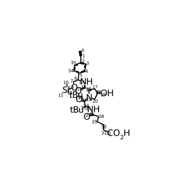 C#Cc1ccc(C(CO[Si](C)(C)C(C)(C)C)NC(=O)[C@@H]2C[C@@H](O)CN2C(=O)C(NC(=O)CCCCC(=O)O)C(C)(C)C)cc1